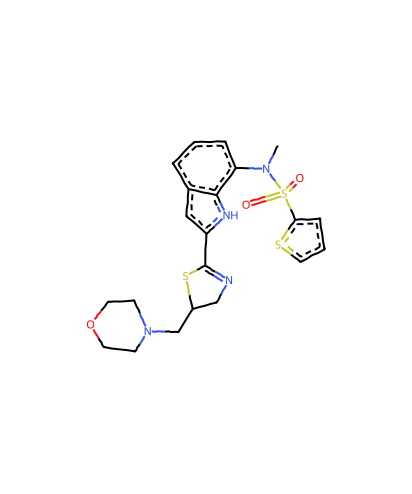 CN(c1cccc2cc(C3=NCC(CN4CCOCC4)S3)[nH]c12)S(=O)(=O)c1cccs1